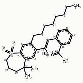 CCCCCCCCc1cc2c(cc1C(C)=Cc1ccccc1C(=O)O)C(C)(C)CCCS2(=O)=O